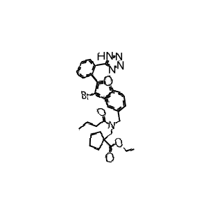 CCCC(=O)N(Cc1ccc2oc(-c3ccccc3-c3nnn[nH]3)c(Br)c2c1)CC1(C(=O)OCC)CCCC1